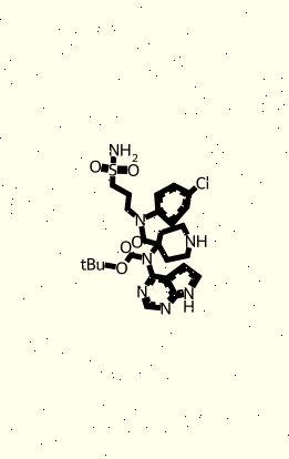 CC(C)(C)OC(=O)N(c1ncnc2[nH]ccc12)C1(C(=O)N(CCCS(N)(=O)=O)c2ccc(Cl)cc2)CCNCC1